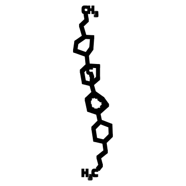 CCCCC1CCC(c2ccc(C34CCC(C5CCC(CCC)CC5)(CC3)CC4)cc2)CC1